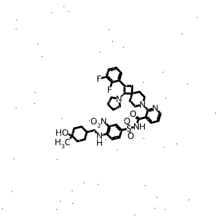 CC1(O)CCC(CNc2ccc(S(=O)(=O)NC(=O)c3cccnc3N3CCC4(CC3)CC(c3cccc(F)c3F)[C@@H]4N3CCCC3)cc2[N+](=O)[O-])CC1